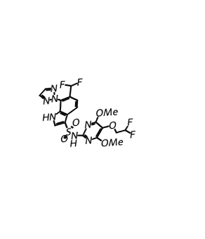 COc1nc(NS(=O)(=O)c2c[nH]c3c(-n4nccn4)c(C(F)F)ccc23)nc(OC)c1OCC(F)F